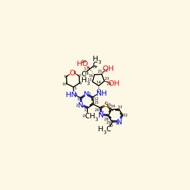 Cc1nc(NC2CCOCC2)nc(N[C@@H]2C[C@H](C(C)(C)O)[C@@H](O)[C@H]2O)c1-c1nc2c(C)nccc2s1